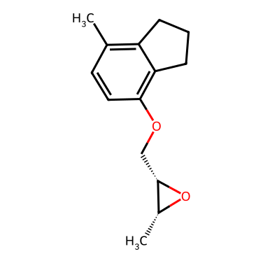 Cc1ccc(OC[C@@H]2O[C@@H]2C)c2c1CCC2